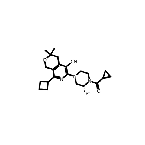 CC(C)[C@@H]1CN(c2nc(C3CCC3)c3c(c2C#N)CC(C)(C)OC3)CCN1C(=O)C1CC1